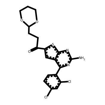 Nc1nc(-c2ccc(Cl)cc2Cl)c2cc(C(=O)CCC3OCCCO3)sc2n1